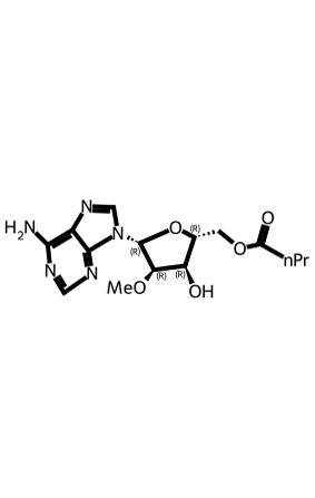 CCCC(=O)OC[C@H]1O[C@@H](n2cnc3c(N)ncnc32)[C@H](OC)[C@@H]1O